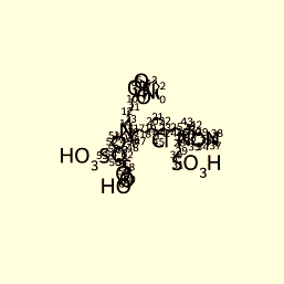 C=C1CCC(=O)N1OC(=O)CCCCCN1/C(=C/C=C2\CCCC(/C=C/C3=[N+](CCCS(=O)(=O)O)c4ccc(N(C)C)cc4C3(C)C)=C2Cl)C(C)(C)c2c1ccc1c(S(=O)(=O)O)cc(SOOO)cc21